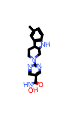 Cc1ccc2c(c1)C1CCN(c3ncc(C(=O)NO)cn3)CC1N2